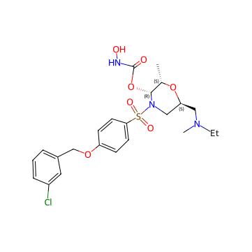 CCN(C)C[C@H]1CN(S(=O)(=O)c2ccc(OCc3cccc(Cl)c3)cc2)[C@H](OC(=O)NO)[C@H](C)O1